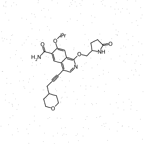 CC(C)Oc1cc2c(OCC3CCC(=O)N3)ncc(C#CCC3CCOCC3)c2cc1C(N)=O